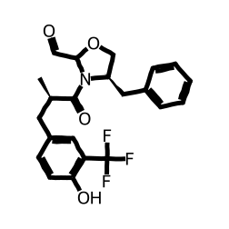 C[C@H](Cc1ccc(O)c(C(F)(F)F)c1)C(=O)N1C(C=O)OC[C@H]1Cc1ccccc1